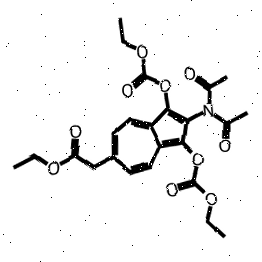 CCOC(=O)Cc1ccc2c(OC(=O)OCC)c(N(C(C)=O)C(C)=O)c(OC(=O)OCC)c-2cc1